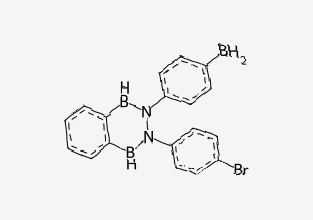 Bc1ccc(N2Bc3ccccc3BN2c2ccc(Br)cc2)cc1